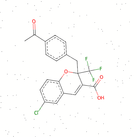 CC(=O)c1ccc(CC2(C(F)(F)F)Oc3ccc(Cl)cc3C=C2C(=O)O)cc1